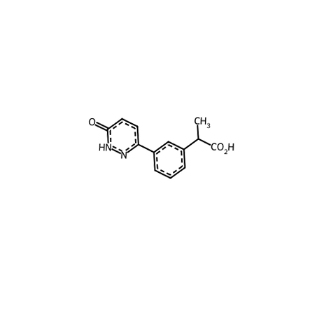 CC(C(=O)O)c1cccc(-c2ccc(=O)[nH]n2)c1